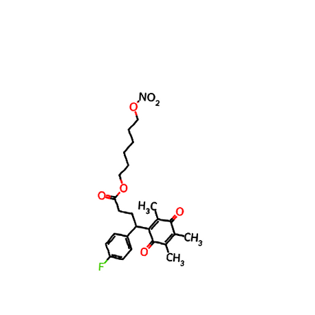 CC1=C(C)C(=O)C(C(CCC(=O)OCCCCCCO[N+](=O)[O-])c2ccc(F)cc2)=C(C)C1=O